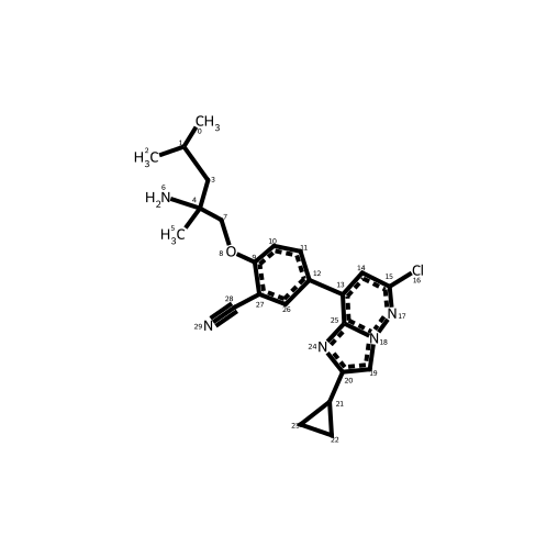 CC(C)CC(C)(N)COc1ccc(-c2cc(Cl)nn3cc(C4CC4)nc23)cc1C#N